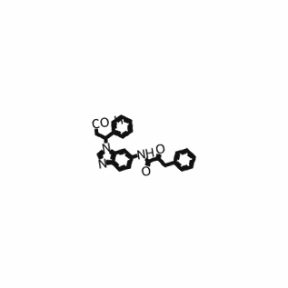 O=C(O)CC(c1ccccc1)n1cnc2ccc(NC(=O)C(=O)Cc3ccccc3)cc21